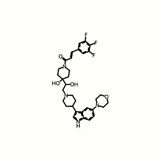 O=C(C=Cc1cc(F)c(F)c(F)c1)N1CCC(O)(C(O)CN2CCC(c3c[nH]c4ccc(N5CCOCC5)cc34)CC2)CC1